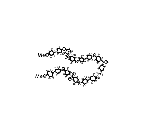 CC=C(Oc1ccc(-c2ccc(OC)cc2)cc1)[C@H](C)S(=O)(=O)c1ccc(Oc2ccc(-c3ccc(Oc4ccc(C(=O)c5ccc(CCOc6ccc(-c7ccc(Oc8ccc(S(=O)(=O)c9ccc(Oc%10ccc(-c%11ccc(OC)cc%11)cc%10)cc9)cc8)cc7)cc6)cc5)cc4)cc3)cc2)cc1